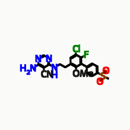 COc1c(CCNc2ncnc(N)c2C#N)cc(Cl)c(F)c1-c1ccc(S(C)(=O)=O)cc1